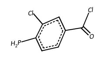 O=C(Cl)c1ccc(P)c(Cl)c1